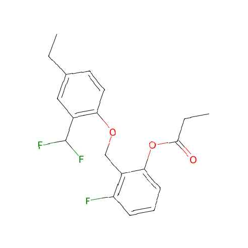 CCC(=O)Oc1cccc(F)c1COc1ccc(CC)cc1C(F)F